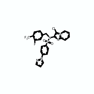 O=S(=O)(c1ccc(-n2cccn2)cc1)N(Cc1ccc(C(F)(F)F)c(F)c1)c1nc2ccccn2c1Cl